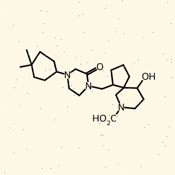 CC1(C)CCC(N2CCN(CC3CCCC34CN(C(=O)O)CCC4O)C(=O)C2)CC1